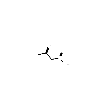 CC(=O)C[11C](=O)O